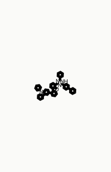 c1ccc(C2=NC(c3cccc4c3oc3cccc(-c5ccc6c(c5)c5ccccc5n6-c5ccccc5)c34)=NC(c3ccc(-c4ccccc4)cc3)N2)cc1